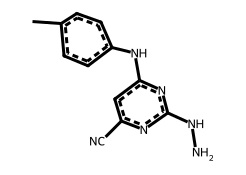 Cc1ccc(Nc2cc(C#N)nc(NN)n2)cc1